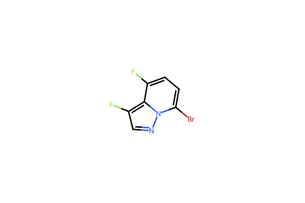 Fc1ccc(Br)n2ncc(F)c12